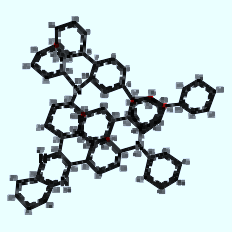 c1ccc(-c2ccc(-c3ccccc3)c(N(c3ccccc3)c3ccc(-c4nc5ccccc5nc4-c4ccc(N(c5ccccc5)c5cc(-c6ccccc6)ccc5-c5ccccc5)cc4)cc3)c2)cc1